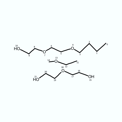 CCCCOCCOCCO.CCOC.OCCOCCO